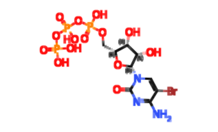 Nc1nc(=O)n([C@@H]2O[C@H](COP(=O)(O)OP(=O)(O)OP(=O)(O)O)[C@H](O)[C@@H]2O)cc1Br